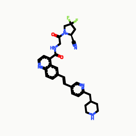 N#C[C@@H]1CC(F)(F)CN1C(=O)CNC(=O)c1ccnc2ccc(/C=C/c3ccc(CC4CCNCC4)nc3)cc12